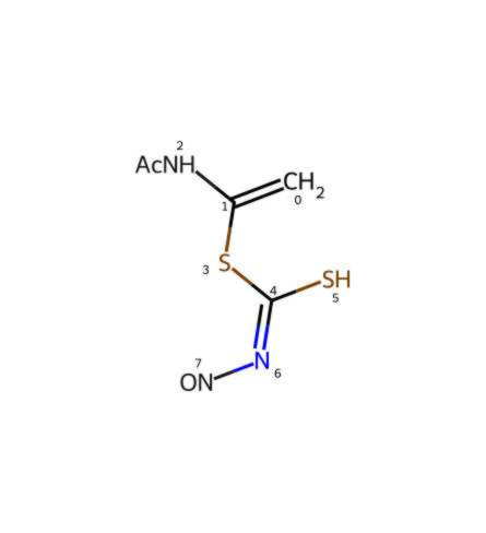 C=C(NC(C)=O)S/C(S)=N\N=O